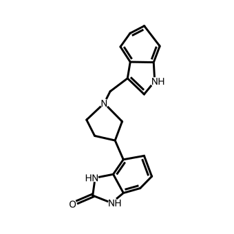 O=c1[nH]c2cccc(C3CCN(Cc4c[nH]c5ccccc45)C3)c2[nH]1